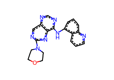 c1cc(Nc2ncnc3cnc(N4CCOCC4)nc23)c2cccnc2c1